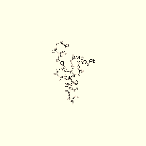 CCOC(=O)c1ncc2c(c1COC)c1c(OCc3ccccc3)cccc1n2S(=O)(=O)c1ccc(C)cc1